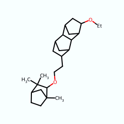 CCOC1CC2CC1C1C3CC(CC3CCOC3C4(C)CCC(C4)C3(C)C)C21